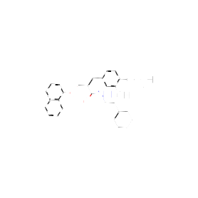 Cc1cc(C=C(COc2cccc3ccccc23)C(=O)NCCC2=CCCCC2)ccc1C(=O)O